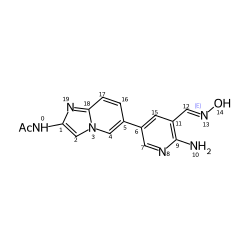 CC(=O)Nc1cn2cc(-c3cnc(N)c(/C=N/O)c3)ccc2n1